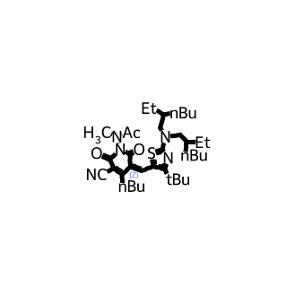 CCCCC1=C(C#N)C(=O)N(N(C)C(C)=O)C(=O)/C1=C\c1sc(N(CC(CC)CCCC)CC(CC)CCCC)nc1C(C)(C)C